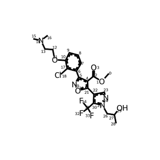 COC(=O)c1c(-c2cccc(OCCN(C)C)c2Cl)noc1-c1cnn(CC(C)O)c1C(F)(F)F